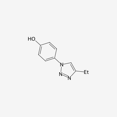 CCc1cn(-c2ccc(O)cc2)nn1